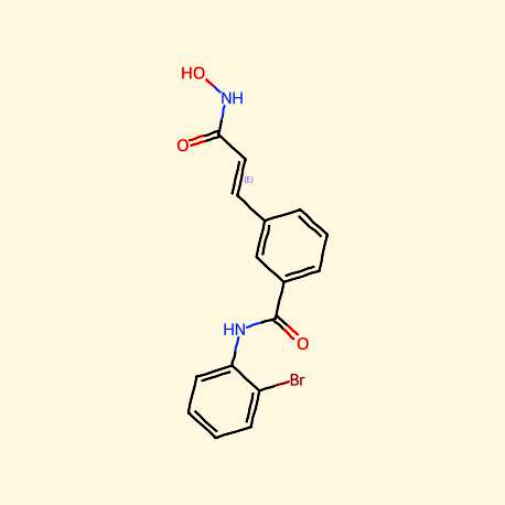 O=C(/C=C/c1cccc(C(=O)Nc2ccccc2Br)c1)NO